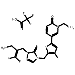 CCn1cc(-c2cc(F)c(Cn3cnn(CC(CN)=C(F)F)c3=O)s2)ccc1=O.O=C(O)C(F)(F)F